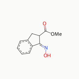 COC(=O)C1Cc2ccccc2C1=NO